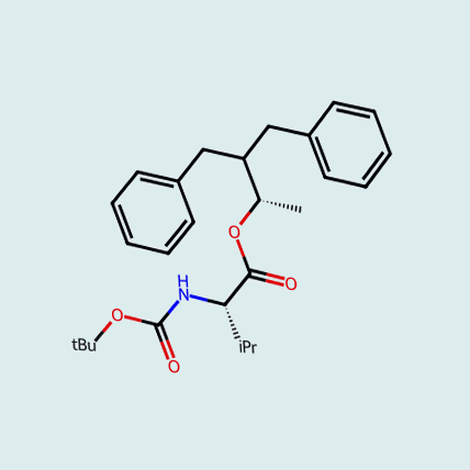 CC(C)[C@H](NC(=O)OC(C)(C)C)C(=O)O[C@@H](C)C(Cc1ccccc1)Cc1ccccc1